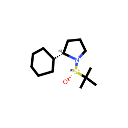 CC(C)(C)[S@+]([O-])N1CCC[C@H]1C1CCCCC1